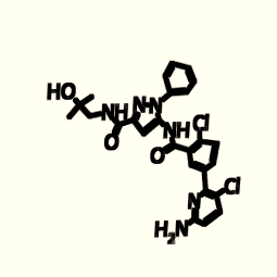 CC(C)(O)CNC(=O)c1cc(NC(=O)c2cc(-c3nc(N)ccc3Cl)ccc2Cl)n(-c2ccccc2)n1